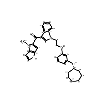 Cn1c(C(=O)c2cn(CCOc3cccc(O[C@@H]4CCCNCC4)c3)c3ccccc23)cc2sccc21